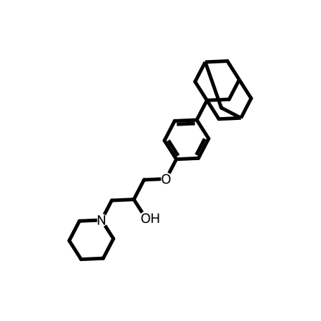 OC(COc1ccc(C23CC4CC(CC(C4)C2)C3)cc1)CN1CCCCC1